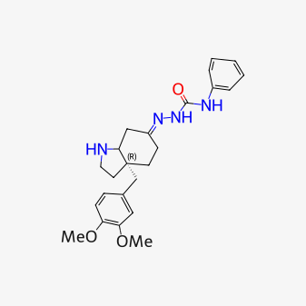 COc1ccc(C[C@]23CCNC2CC(=NNC(=O)Nc2ccccc2)CC3)cc1OC